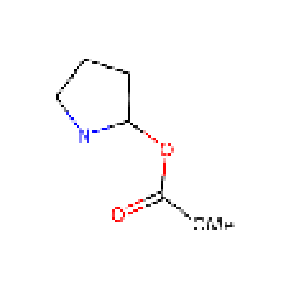 COC(=O)OC1CCC[N]1